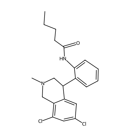 CCCCC(=O)Nc1ccccc1C1CN(C)Cc2c(Cl)cc(Cl)cc21